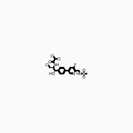 CS(=O)(=O)NCc1ncc(-c2ccc([C@H](O)[C@@H](CCl)NC(=O)C(Cl)Cl)cc2)cc1F